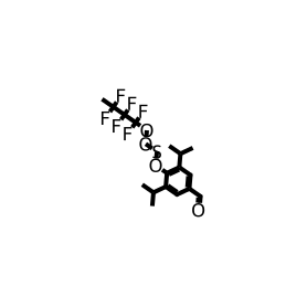 CC(C)c1cc(C=O)cc(C(C)C)c1OSOOC(F)(F)C(F)(F)C(C)(F)F